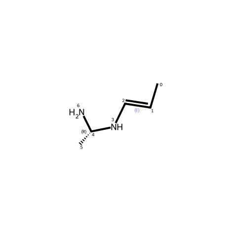 C/C=C/N[C@H](C)N